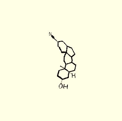 C[C@]12CC[C@@H](O)C[C@@H]1CCC1C3CCC4C[C@H](C#N)CCC43CCC12